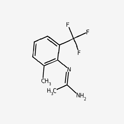 C/C(N)=N\c1c(C)cccc1C(F)(F)F